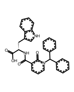 O=C(N[C@@H](Cc1c[nH]c2ccccc12)C(=O)O)c1cccn(C(c2ccccc2)c2ccccc2)c1=O